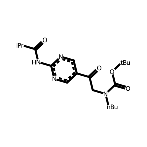 CCCCN(CC(=O)c1cnc(NC(=O)C(C)C)nc1)C(=O)OC(C)(C)C